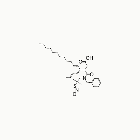 CC=CC=C(C=CCCCCCCCCCC)C(CC(=O)O)C(=O)N(Cc1ccccc1)CC(C)(C)SN=O